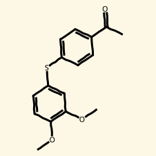 COc1ccc(Sc2ccc(C(C)=O)cc2)cc1OC